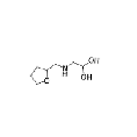 OC(O)CNCC1CCCO1